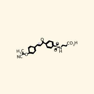 CC(C#N)Oc1ccc(/C=C/C(=O)c2ccc(S(=O)(=O)NCCC(=O)O)cc2)cc1